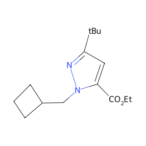 CCOC(=O)c1cc(C(C)(C)C)nn1CC1CCC1